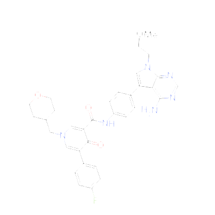 COCCn1cc(-c2ccc(NC(=O)c3cn(CC4CCOCC4)cc(-c4ccc(F)cc4)c3=O)cc2)c2c(N)ncnc21